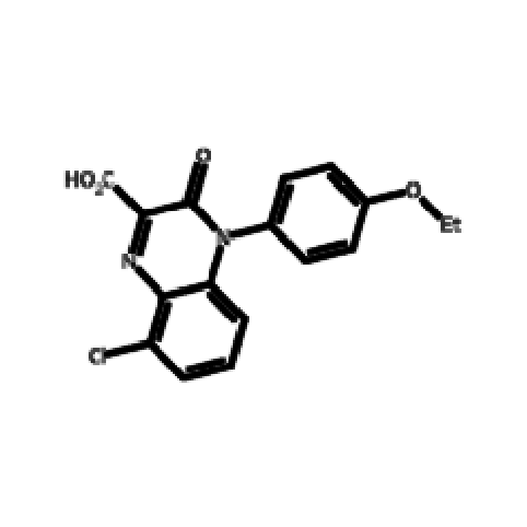 CCOc1ccc(-n2c(=O)c(C(=O)O)nc3c(Cl)cccc32)cc1